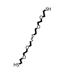 SCCOCCOCCSSCCOCCOCCS